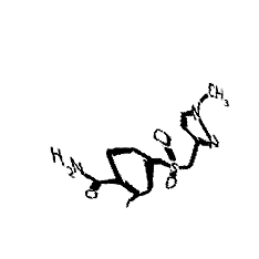 Cn1ccc(CS(=O)(=O)c2ccc(C(N)=O)c(I)c2)n1